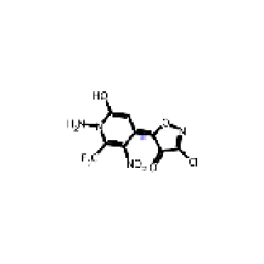 NN1C(O)=C/C(=C2\ON=C(Cl)C2=O)C([N+](=O)[O-])=C1C(F)(F)F